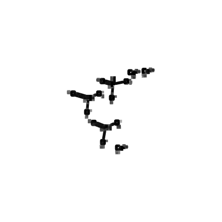 O=[PH]([O-])[O-].O=[PH]([O-])[O-].O=[PH]([O-])[O-].[Ca+2].[Ca+2].[Ca+2]